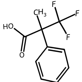 CC(C(=O)O)(c1ccccc1)C(F)(F)F